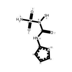 NS(=O)(=O)N(S)C(=O)Nc1cccs1